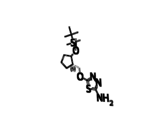 CC(C)(C)[Si](C)(C)OC1CCC[C@H]1COc1nnc(N)s1